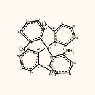 Nc1cccc[c]1[Au]([c]1ccccc1N)([c]1ccccc1N)[c]1ccccc1N